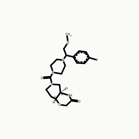 COCC(c1ccc(F)cc1)N1CCN(C(=O)N2CC[C@@H]3OCC(=O)N[C@@H]3C2)CC1